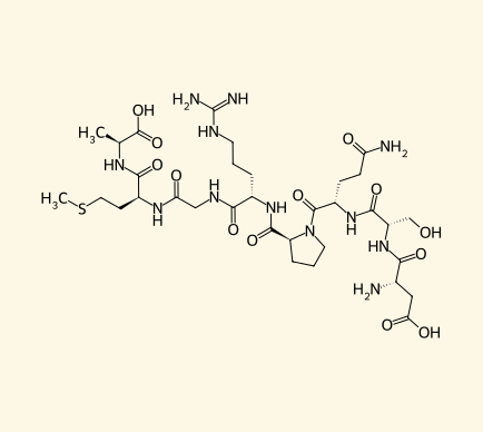 CSCC[C@H](NC(=O)CNC(=O)[C@H](CCCNC(=N)N)NC(=O)[C@@H]1CCCN1C(=O)[C@H](CCC(N)=O)NC(=O)[C@H](CO)NC(=O)[C@@H](N)CC(=O)O)C(=O)N[C@@H](C)C(=O)O